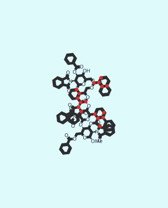 CO[C@H]1OC(COC(=O)c2ccccc2)[C@H](OC2OC(COC(=O)c3ccccc3)C(O[C@H]3OC(COC(=O)c4ccccc4)[C@H](OC4OC(COC(=O)c5ccccc5)C(O)[C@H](OC(=O)c5ccccc5)[C@@H]4N4C(=O)c5ccccc5C4=O)C[C@H]3N3C(=O)c4ccccc4C3=O)[C@H](OC(=O)c3ccccc3)[C@@H]2N2C(=O)c3ccccc3C2=O)C(OC(=O)c2ccccc2)[C@H]1N1C(=O)c2ccccc2C1=O